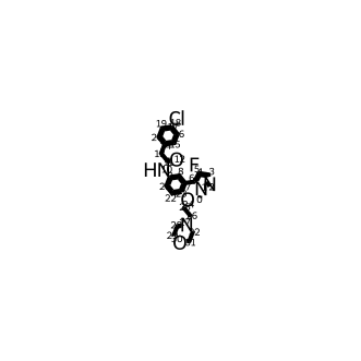 Cn1ncc(F)c1-c1cc(NC(=O)Cc2ccc(Cl)cc2)ccc1OCCN1CCOCC1